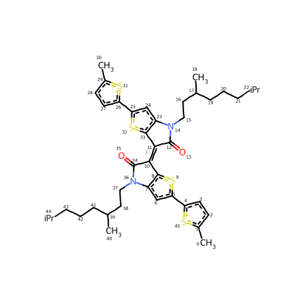 Cc1ccc(-c2cc3c(s2)/C(=C2\C(=O)N(CCC(C)CCCC(C)C)c4cc(-c5ccc(C)s5)sc42)C(=O)N3CCC(C)CCCC(C)C)s1